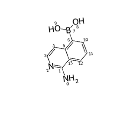 Nc1nccc2c(B(O)O)cccc12